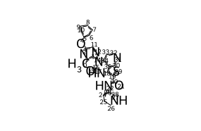 Cc1nc(Oc2ccccc2)cnc1N1C(=O)Nc2c(C(=O)N[C@@H]3CCCNC3)sc3nccc1c23